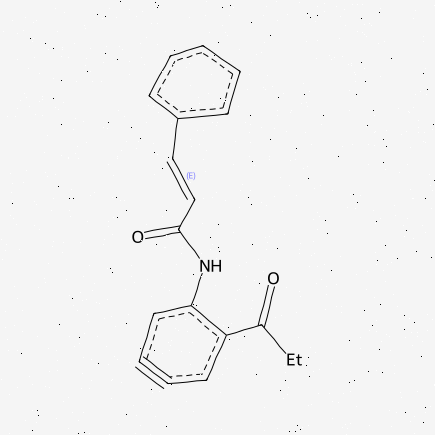 CCC(=O)c1cc#ccc1NC(=O)/C=C/c1ccccc1